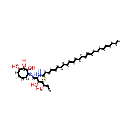 CCCCCCCCCCCCCCCCCCCCCCCCCC(=S)NC(CNC1CCCCC(O)C(O)C1O)C(O)CC(O)CC